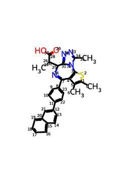 Cc1sc2c(c1C)C(c1ccc(-c3ccc4ccccc4c3)cc1)=NC([C@H](C)C(=O)O)c1nnc(C)n1-2